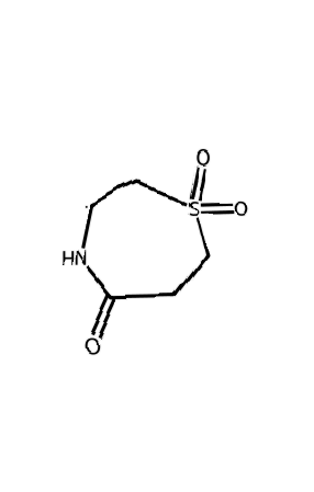 O=C1CCS(=O)(=O)C[CH]N1